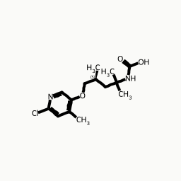 Cc1cc(Cl)ncc1OC[C@@H](C)CC(C)(C)NC(=O)O